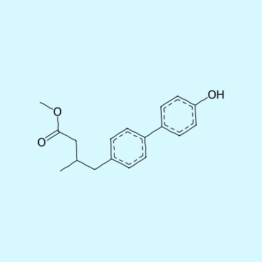 COC(=O)CC(C)Cc1ccc(-c2ccc(O)cc2)cc1